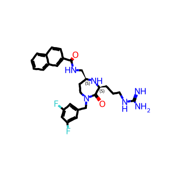 N=C(N)NCCC[C@@H]1N[C@H](CNC(=O)c2ccc3ccccc3c2)CCN(Cc2cc(F)cc(F)c2)C1=O